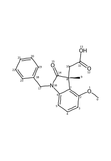 COc1cccc2c1[C@@](C)(CC(=O)O)C(=O)N2Cc1ccccc1